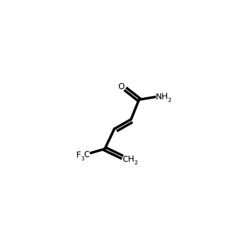 C=C(C=CC(N)=O)C(F)(F)F